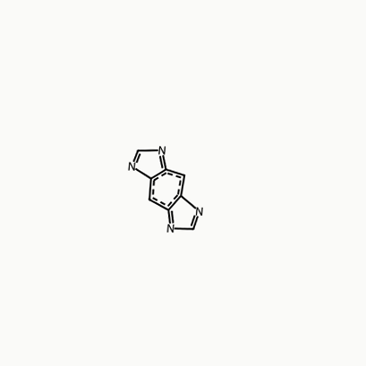 C1=Nc2cc3c(cc2=N1)N=CN=3